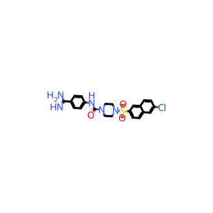 N=C(N)c1ccc(NC(=O)N2CCN(S(=O)(=O)c3ccc4cc(Cl)ccc4c3)CC2)cc1